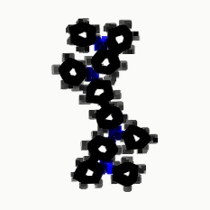 C1=CC(N2C3=C(C=CCC3)C3C=CC(N(C4=CCCCC4)c4ccc(C5=CC=C(N(c6ccccc6)C6C=c7c(c8c(n7-c7ccccc7)C=CCC8)=CC6)CC5)cc4)=CC32)=CCC1